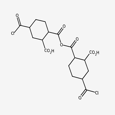 O=C(Cl)C1CCC(C(=O)OC(=O)C2CCC(C(=O)Cl)CC2C(=O)O)C(C(=O)O)C1